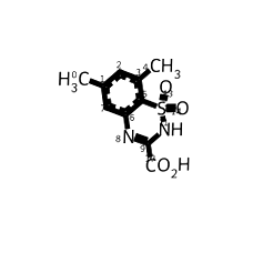 Cc1cc(C)c2c(c1)N=C(C(=O)O)NS2(=O)=O